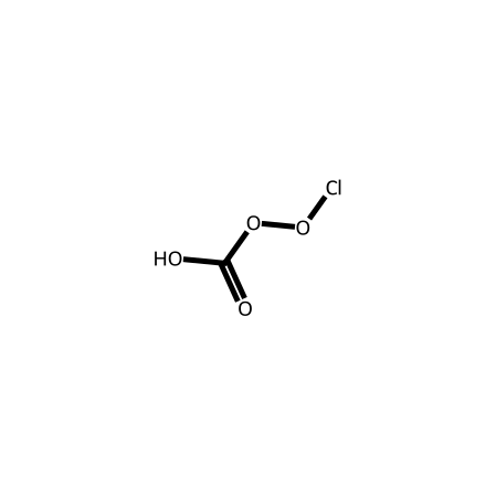 O=C(O)OOCl